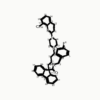 O=C(NCc1ccc(F)cc1)C1(CCCCN2CCN(c3ccc4cccc(Cl)c4n3)CC2)c2ccccc2-c2ccccc21